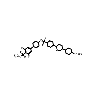 CCCCCCCC1CCC(C2CCC(C3CCC(C(F)(F)OC4CCC(c5cc(F)c(C(F)(F)OC(F)(F)F)c(F)c5)CC4)CC3)OC2)CC1